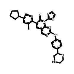 Cc1cc(C2CCCC2)cnc1-c1cc2cnc(Nc3ccc(C4CNCCO4)cc3)nc2n(-c2nccs2)c1=O